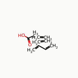 C=C.C=C.C=CC=C.CC(=O)O